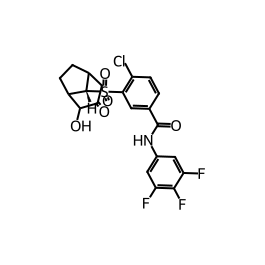 O=C(Nc1cc(F)c(F)c(F)c1)c1ccc(Cl)c(S(=O)(=O)[C@H]2C3CCC2C(O)C(=O)C3)c1